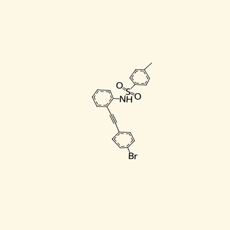 Cc1ccc(S(=O)(=O)Nc2ccccc2C#Cc2ccc(Br)cc2)cc1